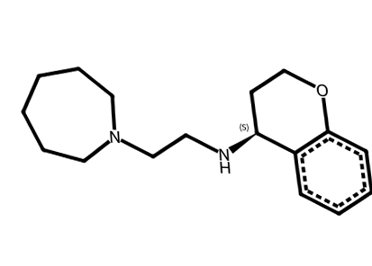 c1ccc2c(c1)OCC[C@@H]2NCCN1CCCCCC1